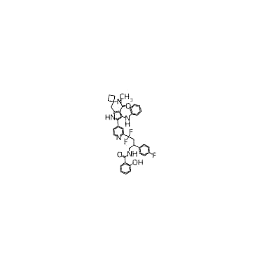 CN1C(=O)c2c([nH]c(-c3ccnc(C(F)(F)CC(CNC(=O)c4ccccc4O)c4ccc(F)cc4)c3)c2Nc2ccccc2)CC12CCC2